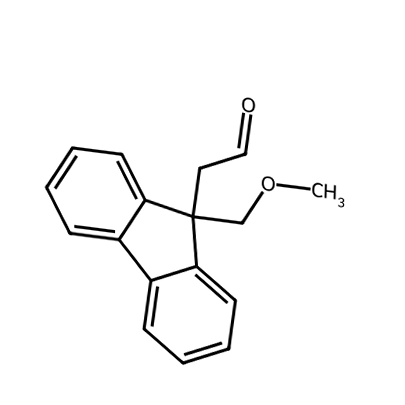 COCC1(CC=O)c2ccccc2-c2ccccc21